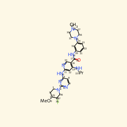 CO[C@H]1CCN(c2nccc(Nc3cc(NC(C)C)c(C(=O)Nc4cccc(N5CCN(C)CC5)c4)cn3)n2)C[C@H]1F